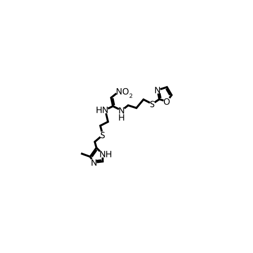 Cc1nc[nH]c1CSCCNC(=C[N+](=O)[O-])NCCCSc1ncco1